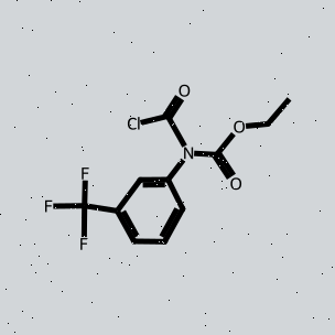 CCOC(=O)N(C(=O)Cl)c1cccc(C(F)(F)F)c1